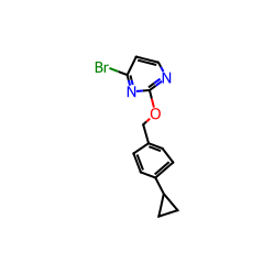 Brc1ccnc(OCc2ccc(C3CC3)cc2)n1